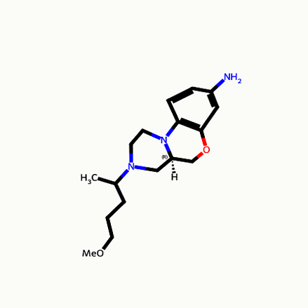 COCCCC(C)N1CCN2c3ccc(N)cc3OC[C@H]2C1